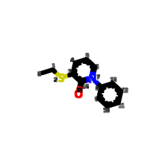 CCSc1cccn(-c2ccccc2)c1=O